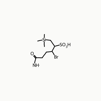 C[Si](C)(C)CC(C(Br)CCC([NH])=O)S(=O)(=O)O